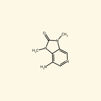 Cn1c(=O)n(C)c2c(N)cncc21